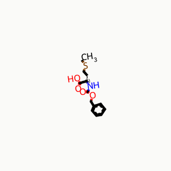 CCSCC[C@H](NC(=O)OCc1ccccc1)C(=O)O